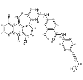 COc1cc(Nc2ncc3c(n2)-c2ccc(Cl)cc2C(c2c(F)cccc2OC)=NC3)ccc1C(=O)Nc1ccc(C#CCN)cc1